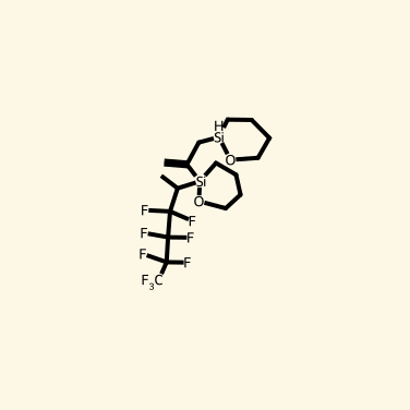 C=C(C[SiH]1CCCCO1)[Si]1(C(C)C(F)(F)C(F)(F)C(F)(F)C(F)(F)F)CCCCO1